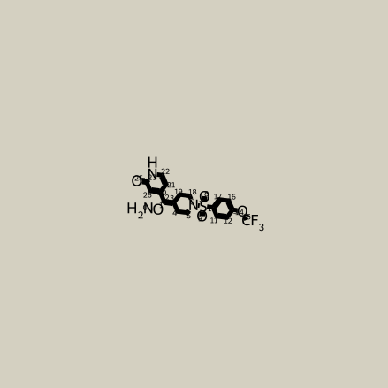 NOC(=C1CCN(S(=O)(=O)c2ccc(OC(F)(F)F)cc2)CC1)c1cc[nH]c(=O)c1